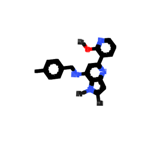 CCOc1ncccc1-c1cc(NCc2ccc(C)cc2)c2c(cc(CC)n2C(C)C)n1